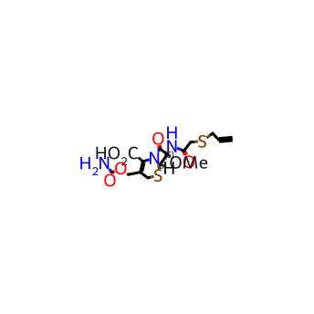 C#CCSCC(=O)N[C@]1(OC)C(=O)N2C(C(=O)O)=C(COC(N)=O)CS[C@H]21